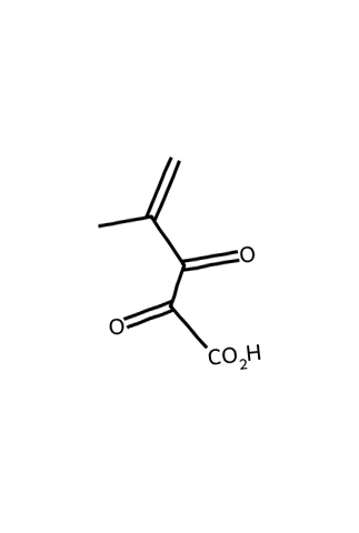 C=C(C)C(=O)C(=O)C(=O)O